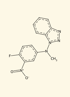 CN(c1ccc(F)c([N+](=O)[O-])c1)n1nnc2ccccc21